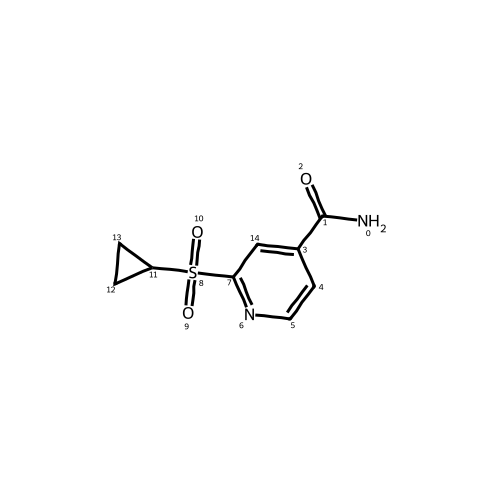 NC(=O)c1ccnc(S(=O)(=O)C2CC2)c1